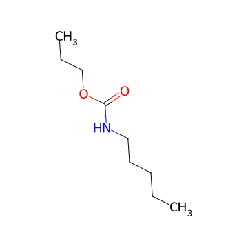 CCCCCNC(=O)OCCC